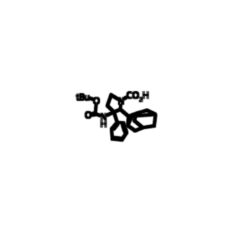 CC(C)(C)OC(=O)NC1(c2ccccc2)CCN(C(=O)O)C1C1C2CC3CC(C2)CC1C3